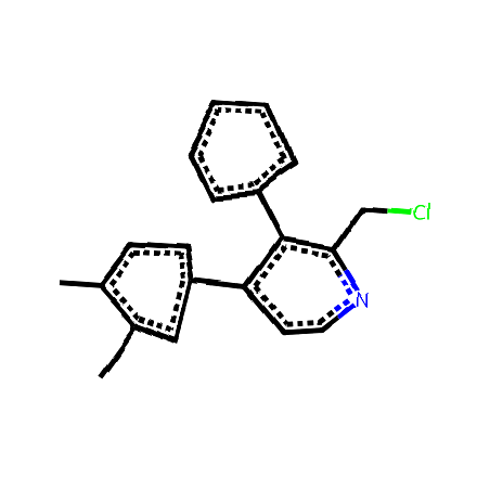 Cc1ccc(-c2ccnc(CCl)c2-c2ccccc2)cc1C